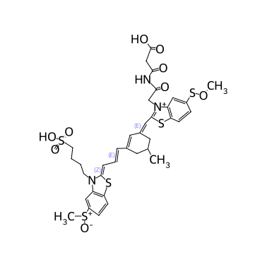 COSc1ccc2sc(/C=C3C=C(/C=C/C=C4\Sc5ccc([S+](C)[O-])cc5N4CCCCS(=O)(=O)O)CC(C)C/3)[n+](CC(=O)NC(=O)CC(=O)O)c2c1